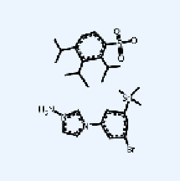 CC(C)c1ccc(S(=O)(=O)[O-])c(C(C)C)c1C(C)C.[CH3][Sn]([CH3])([CH3])[c]1cc(Br)cc(-[n+]2ccn(N)c2)c1